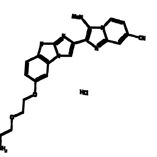 CNc1c(-c2cn3c(n2)sc2ccc(OCCOCCN)cc23)nc2cc(C#N)ccn12.Cl